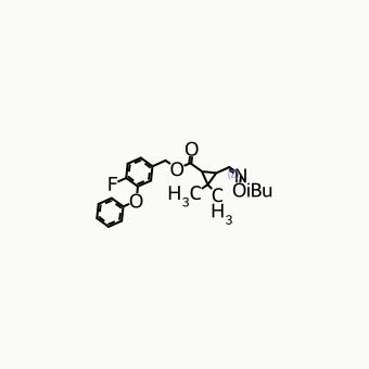 CC(C)CO/N=C\C1C(C(=O)OCc2ccc(F)c(Oc3ccccc3)c2)C1(C)C